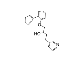 O[C@@H](CCc1cccnc1)COc1ccccc1-c1ccccc1